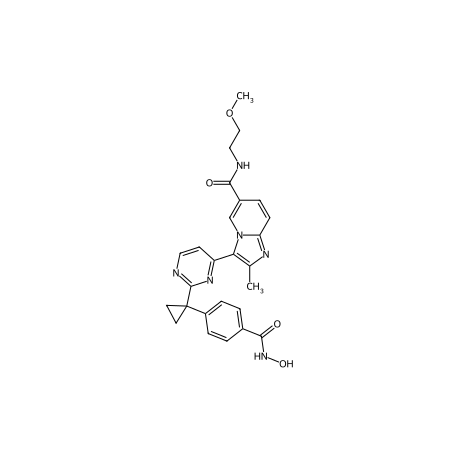 COCCNC(=O)c1ccc2nc(C)c(-c3ccnc(C4(c5ccc(C(=O)NO)cc5)CC4)n3)n2c1